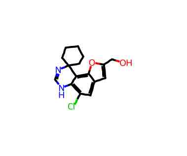 OCc1cc2cc(Cl)c3c(c2o1)C1(CCCCC1)N=CN3